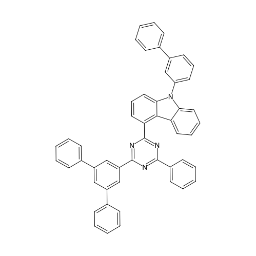 c1ccc(-c2cc(-c3ccccc3)cc(-c3nc(-c4ccccc4)nc(-c4cccc5c4c4ccccc4n5-c4cccc(-c5ccccc5)c4)n3)c2)cc1